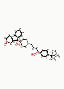 CC(C)(C)c1ccc(C(O)CCCN2CCC(C(O)(C3=CC=CC(=O)C3)c3ccccc3)CC2)cc1